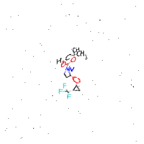 CC(C)(C)OC(=O)n1ccc(O[C@@H]2C[C@@H]2C(F)(F)F)n1